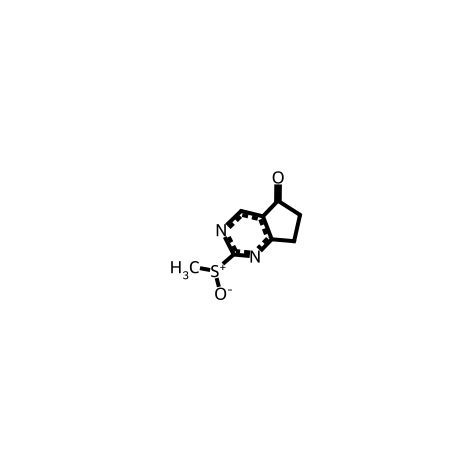 C[S+]([O-])c1ncc2c(n1)CCC2=O